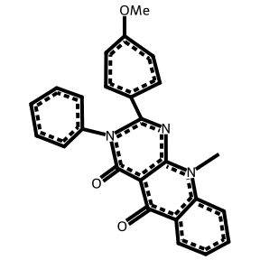 COc1ccc(-c2nc3c(c(=O)c4ccccc4n3C)c(=O)n2-c2ccccc2)cc1